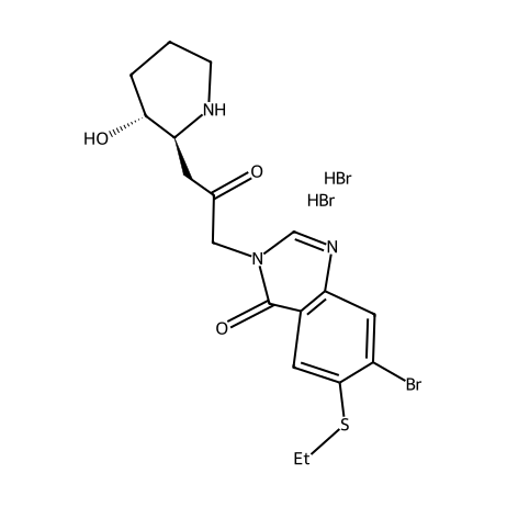 Br.Br.CCSc1cc2c(=O)n(CC(=O)C[C@@H]3NCCC[C@H]3O)cnc2cc1Br